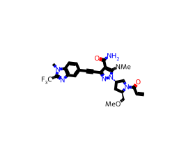 C=CC(=O)N1C[C@@H](n2nc(C#Cc3ccc4c(c3)nc(C(F)(F)F)n4C)c(C(N)=O)c2NC)C[C@@H]1COC